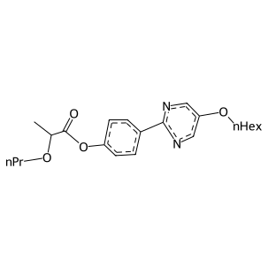 CCCCCCOc1cnc(-c2ccc(OC(=O)C(C)OCCC)cc2)nc1